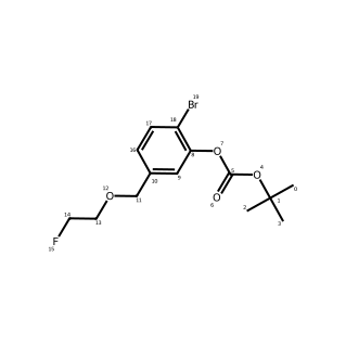 CC(C)(C)OC(=O)Oc1cc(COCCF)ccc1Br